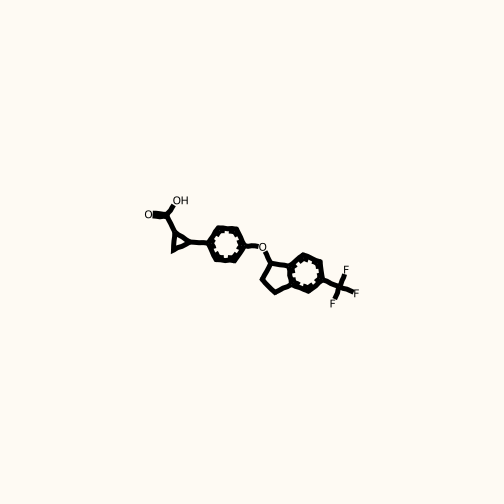 O=C(O)C1CC1c1ccc(OC2CCc3cc(C(F)(F)F)ccc32)cc1